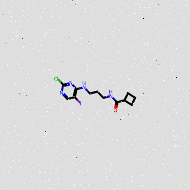 O=C(NCCCNc1nc(Cl)ncc1I)C1CCC1